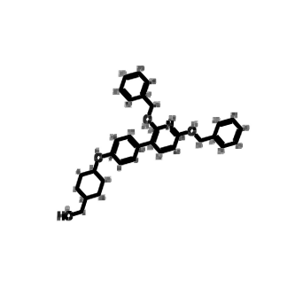 OCC1CCC(Oc2ccc(-c3ccc(OCc4ccccc4)nc3OCc3ccccc3)cc2)CC1